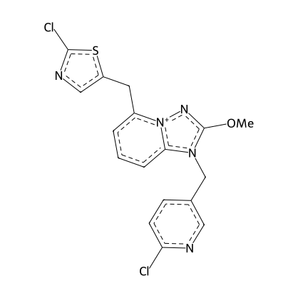 COc1n[n+]2c(Cc3cnc(Cl)s3)cccc2n1Cc1ccc(Cl)nc1